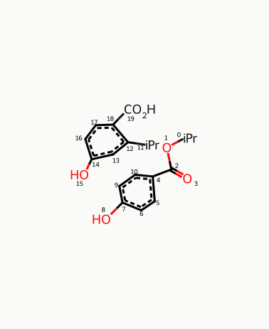 CC(C)OC(=O)c1ccc(O)cc1.CC(C)c1cc(O)ccc1C(=O)O